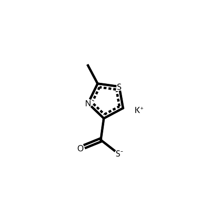 Cc1nc(C(=O)[S-])cs1.[K+]